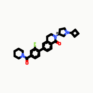 O=C(c1ccc(-c2ccc3c(c2)CCN([C@@H]2CCN(C4CCC4)C2)C3=O)c(F)c1)N1CCCCC1